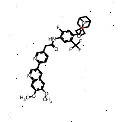 COc1cc2cc(-c3ccc(CC(=O)Nc4cc(C(F)(F)F)c(CN5CC6CC(C5)N6C5COC5)cc4F)cn3)cnc2cc1OC